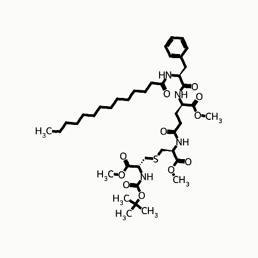 CCCCCCCCCCCCCC(=O)N[C@@H](Cc1ccccc1)C(=O)N[C@H](CCC(=O)N[C@H](CSC[C@H](NC(=O)OC(C)(C)C)C(=O)OC)C(=O)OC)C(=O)OC